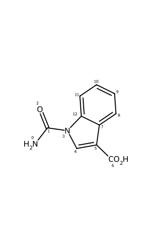 NC(=O)n1cc(C(=O)O)c2ccccc21